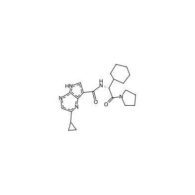 O=C(N[C@@H](C(=O)N1CCCC1)C1CCCCC1)c1c[nH]c2ncc(C3CC3)nc12